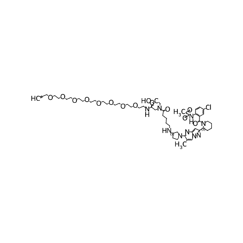 C#CCOCCOCCOCCOCCOCCOCCOCCOCCNC(=O)CN(CC(=O)O)C(=O)CCCCN[C@H]1CCN(c2nc3cc([C@@H]4CCCCN4C(=O)c4cc(Cl)ccc4NS(C)(=O)=O)nn3cc2C)C1